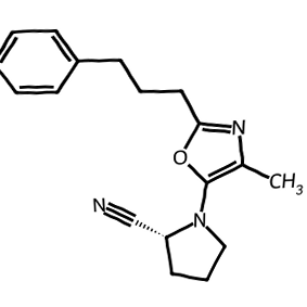 Cc1nc(CCCc2ccccc2)oc1N1CCC[C@@H]1C#N